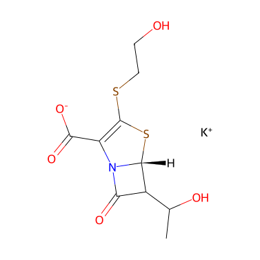 CC(O)C1C(=O)N2C(C(=O)[O-])=C(SCCO)S[C@H]12.[K+]